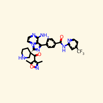 Cc1noc(C)c1C(=O)[C@]1(c2nc(-c3ccc(C(=O)Nc4cc(C(F)(F)F)ccn4)cc3)c3c(N)nccn23)CCCNC1